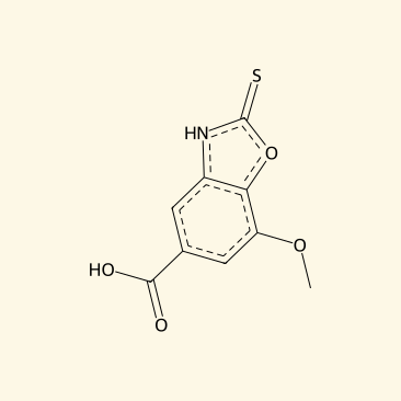 COc1cc(C(=O)O)cc2[nH]c(=S)oc12